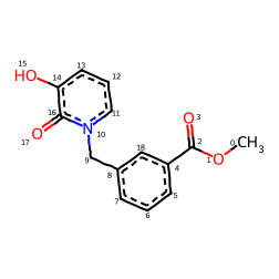 COC(=O)c1cccc(Cn2cccc(O)c2=O)c1